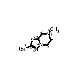 CN1CCN2N=C(C(C)(C)C)SC2C1